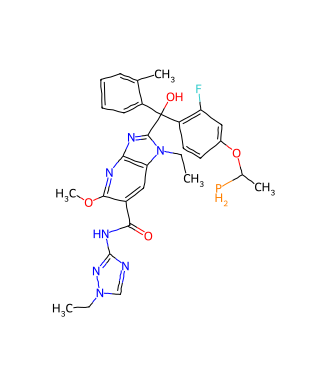 CCn1cnc(NC(=O)c2cc3c(nc2OC)nc(C(O)(c2ccccc2C)c2ccc(OC(C)P)cc2F)n3CC)n1